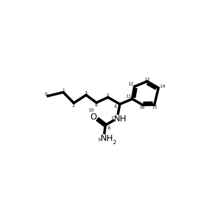 CCCCCCC(NC(N)=O)c1ccccc1